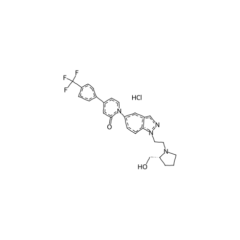 Cl.O=c1cc(-c2ccc(C(F)(F)F)cc2)ccn1-c1ccc2c(cnn2CCN2CCC[C@@H]2CO)c1